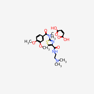 COc1ccc(C(=O)N(C)c2nc(C(=O)NCCN(C)C)cs2)cc1OC.O=C(O)/C=C\C(=O)O